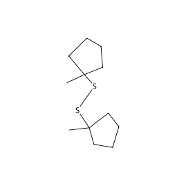 CC1(SSC2(C)CCCC2)CCCC1